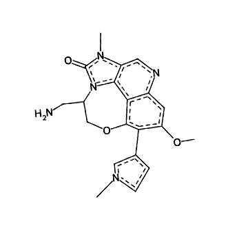 COc1cc2ncc3c4c2c(c1-c1ccn(C)c1)OCC(CN)n4c(=O)n3C